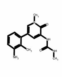 CNC(=O)Nc1cc(-c2cccc(N)c2C)cn(C)c1=O